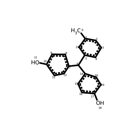 Cc1cccc(C(c2ccc(O)cc2)c2ccc(O)cc2)c1